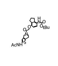 CC(=O)Nc1cc2c(s1)CCN(C(=O)COc1ccc(NC(=O)OC(C)(C)C)c3c1CCC3)C2